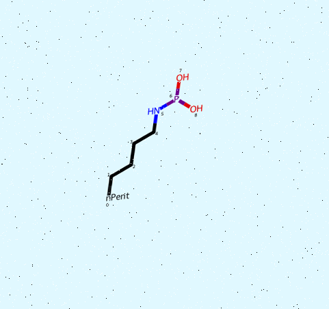 CCCCCCCCCNP(O)O